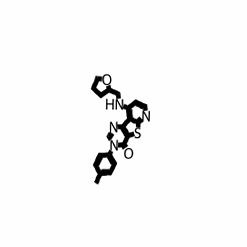 Cc1ccc(-n2cnc3c(sc4nccc(NCC5CCCO5)c43)c2=O)cc1